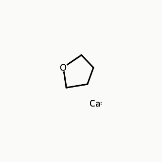 C1CCOC1.[Ca]